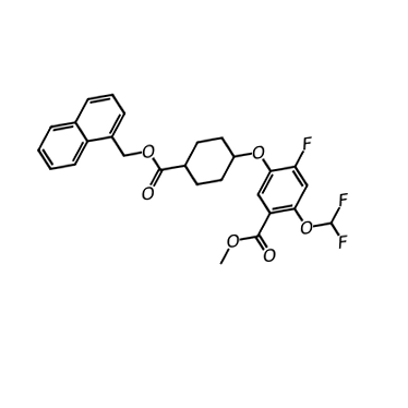 COC(=O)c1cc(OC2CCC(C(=O)OCc3cccc4ccccc34)CC2)c(F)cc1OC(F)F